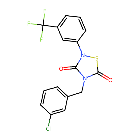 O=c1sn(-c2cccc(C(F)(F)F)c2)c(=O)n1Cc1cccc(Cl)c1